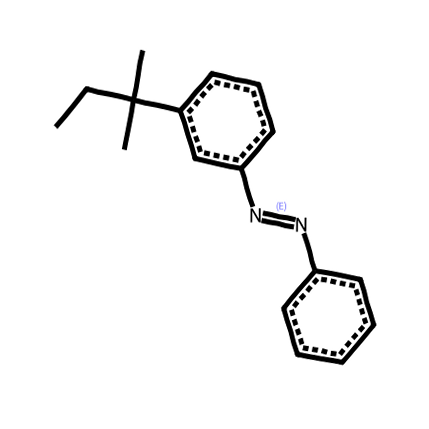 CCC(C)(C)c1cccc(/N=N/c2ccccc2)c1